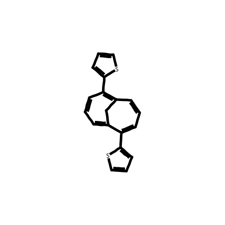 C1=CC2=C(c3cccs3)C=CC=C(C2)C(c2cccs2)=C1